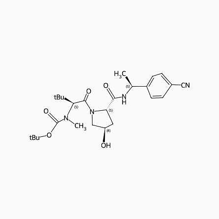 C[C@H](NC(=O)[C@@H]1C[C@@H](O)CN1C(=O)[C@@H](N(C)C(=O)OC(C)(C)C)C(C)(C)C)c1ccc(C#N)cc1